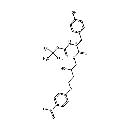 CC(C)(C)OC(=O)N[C@@H](Cc1ccc(O)cc1)C(=O)OCC(O)CCOc1ccc([N+](=O)[O-])cc1